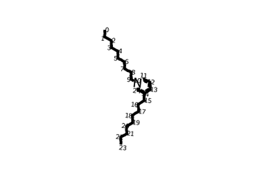 CCCCCCCCCC[n+]1cccc(CCCCCCCCC)c1